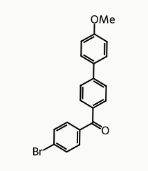 COc1ccc(-c2ccc(C(=O)c3ccc(Br)cc3)cc2)cc1